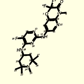 CN1C(=O)C(F)(F)Oc2cc(Nc3ncc(F)c(NC4CC(C)(C)N(C)C(C)(C)C4)n3)cnc21